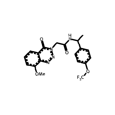 COc1cccc2c(=O)n(CC(=O)NC(C)c3ccc(OC(F)(F)F)cc3)nnc12